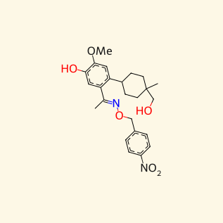 COc1cc(C2CCC(C)(CO)CC2)c(C(C)=NOCc2ccc([N+](=O)[O-])cc2)cc1O